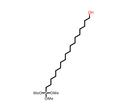 CO[Si](CCCCCCCCCCCCCCCCCCO)(OC)OC